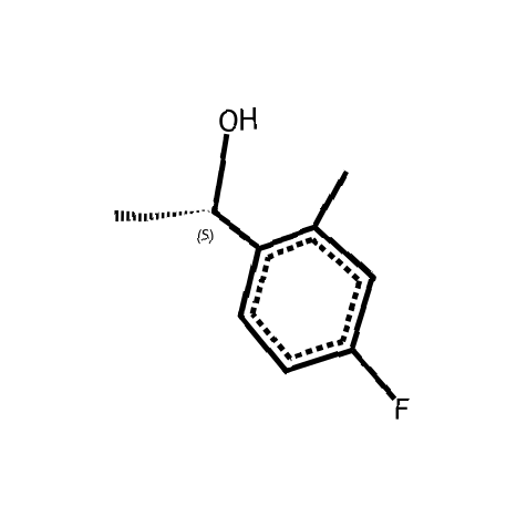 Cc1cc(F)ccc1[C@H](C)O